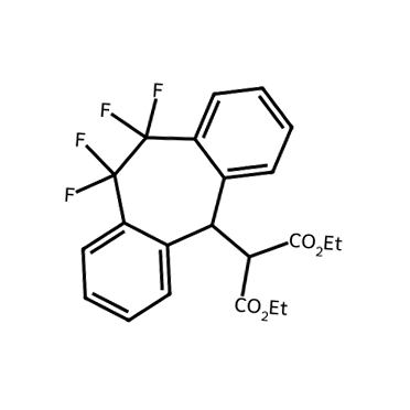 CCOC(=O)C(C(=O)OCC)C1c2ccccc2C(F)(F)C(F)(F)c2ccccc21